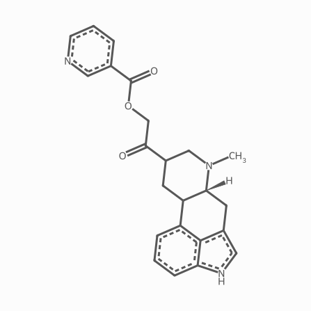 CN1CC(C(=O)COC(=O)c2cccnc2)CC2c3cccc4[nH]cc(c34)C[C@H]21